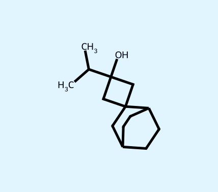 CC(C)C1(O)CC2(CC3CCC2CC3)C1